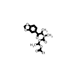 CCC(=O)OC(C)OC(=O)N(C)C(C)C(=O)c1ccc2c(c1)OCO2